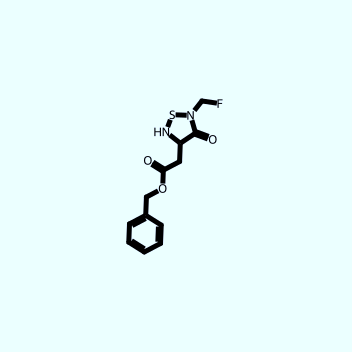 O=C(CC1NSN(CF)C1=O)OCc1ccccc1